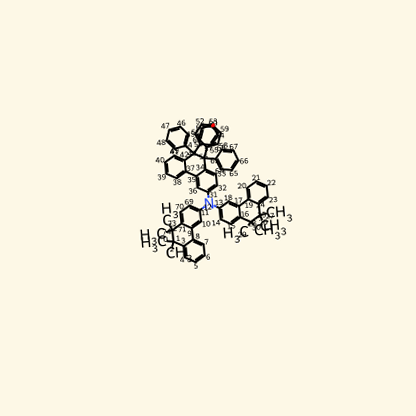 CC1(C)c2ccccc2-c2cc(N(c3ccc4c(c3)-c3ccccc3C(C)(C)C4(C)C)c3ccc4c(c3)-c3ccccc3C(c3ccccc3)(c3ccccc3)C4(c3ccccc3)c3ccccc3)ccc2C1(C)C